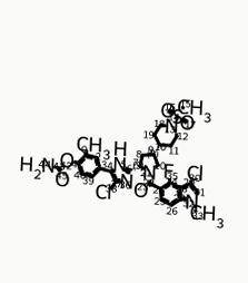 Cc1cc(-c2[nH]c([C@@H]3C[C@H](C4CCN(S(C)(=O)=O)CC4)CN3C(=O)c3ccc4c(c(Cl)cn4C)c3F)nc2Cl)ccc1OC(N)=O